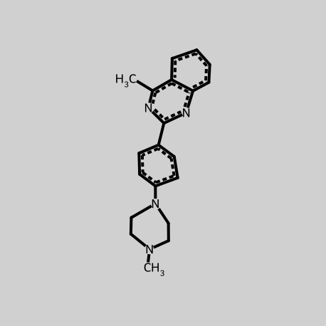 Cc1nc(-c2ccc(N3CCN(C)CC3)cc2)nc2ccccc12